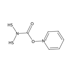 O=C(O[n+]1ccccc1)N(S)S